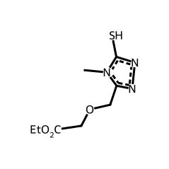 CCOC(=O)COCc1nnc(S)n1C